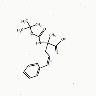 CC(C)(C)OC(=O)NC(C)(C/C=C\c1ccccc1)C(=O)O